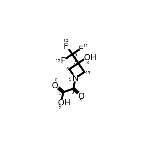 O=C(O)C(=O)N1CC(O)(C(F)(F)F)C1